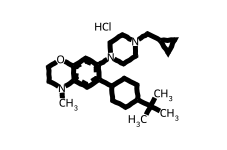 CN1CCOc2cc(N3CCN(CC4CC4)CC3)c(C3CCC(C(C)(C)C)CC3)cc21.Cl